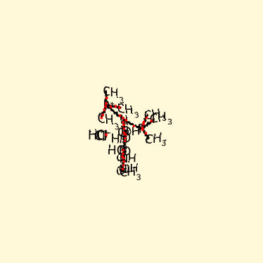 CCCCCCCC[P+](CCCCCCCC)(CCCCCCCC)CCCCCCCCCCN(CCCCCCCCCC[P+](CCCCCCCC)(CCCCCCCC)CCCCCCCC)CCCCCN(O)C(=O)CCC(=O)NCCCCCN(O)C(=O)CCC(=O)NCCCCCN(O)C(C)=O.Cl.[Cl-].[Cl-]